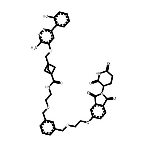 Nc1nnc(-c2ccccc2O)cc1OCC12CC(C(=O)NCCOCc3cccc(COCCOc4ccc5c(c4)C(=O)N(C4CCC(=O)NC4=O)C5=O)c3)(C1)C2